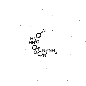 N#Cc1ccc(NC(=O)Nc2ccc(Oc3ccc4ncc(CN)nc4c3)c(F)c2)cc1